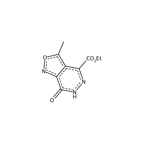 CCOC(=O)c1n[nH]c(=O)c2noc(C)c12